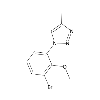 COc1c(Br)cccc1-n1cc(C)nn1